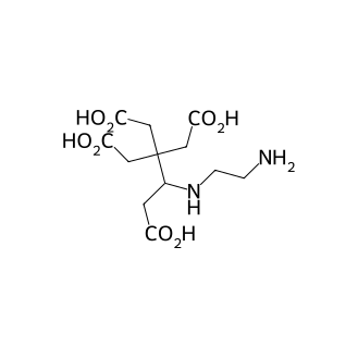 NCCNC(CC(=O)O)C(CC(=O)O)(CC(=O)O)CC(=O)O